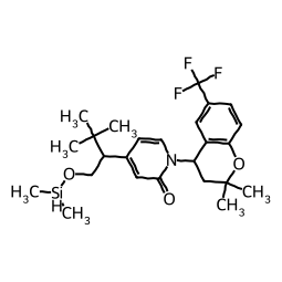 C[SiH](C)OCC(c1ccn(C2CC(C)(C)Oc3ccc(C(F)(F)F)cc32)c(=O)c1)C(C)(C)C